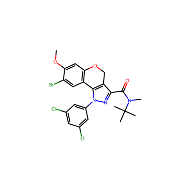 COc1cc2c(cc1Br)-c1c(c(C(=O)N(C)C(C)(C)C)nn1-c1cc(Cl)cc(Cl)c1)CO2